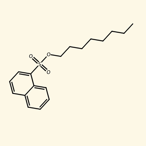 CCCCCCCCOS(=O)(=O)c1cccc2ccccc12